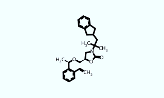 C=Cc1ccccc1[C@@H](C)OC[C@H]1CN(C(C)(C)CC2Cc3ccccc3C2)C(=O)O1